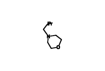 [CH2]C(C)CN1CCOCC1